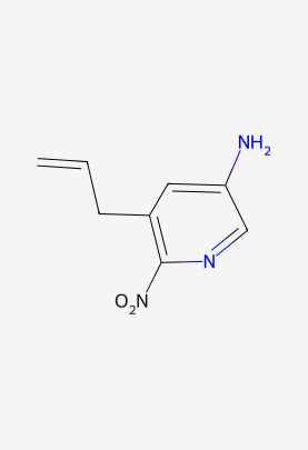 C=CCc1cc(N)cnc1[N+](=O)[O-]